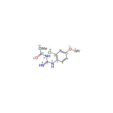 CCCOc1ccc(NC(=N)NC(=O)OC)c(Cl)c1